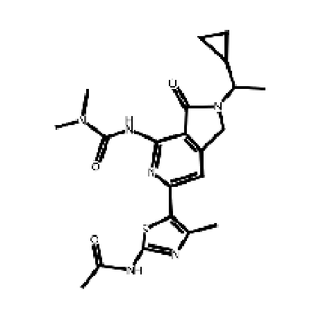 CC(=O)Nc1nc(C)c(-c2cc3c(c(NC(=O)N(C)C)n2)C(=O)N(C(C)C2CC2)C3)s1